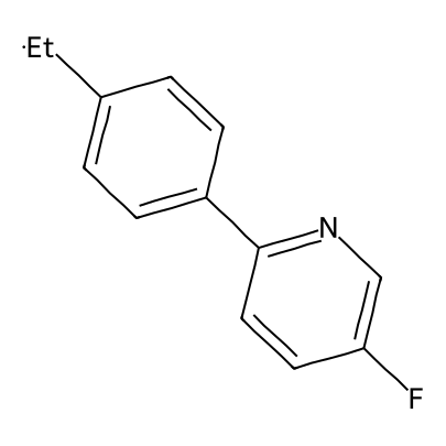 C[CH]c1ccc(-c2ccc(F)cn2)cc1